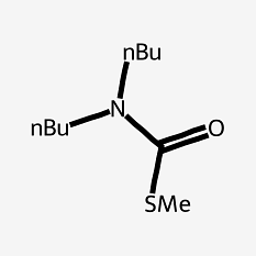 CCCCN(CCCC)C(=O)SC